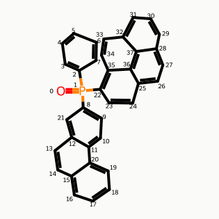 O=P(c1ccccc1)(c1ccc2c(ccc3ccccc32)c1)c1ccc2ccc3cccc4ccc1c2c34